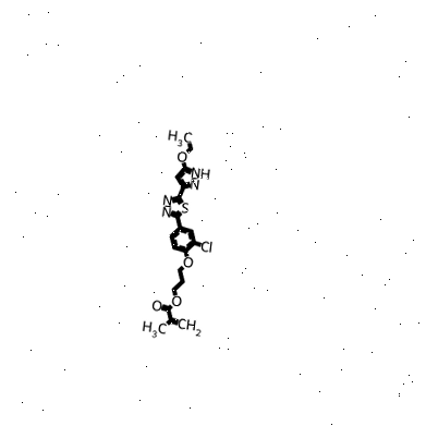 C=C(C)C(=O)OCCCOc1ccc(-c2nnc(-c3cc(OCC)[nH]n3)s2)cc1Cl